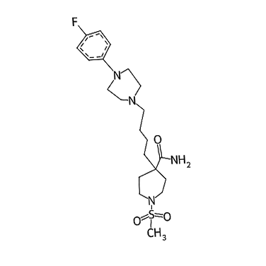 CS(=O)(=O)N1CCC(CCCCN2CCN(c3ccc(F)cc3)CC2)(C(N)=O)CC1